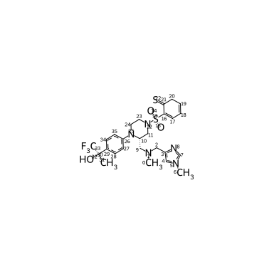 CN(Cc1cn(C)cn1)C[C@H]1CN(S(=O)(=O)C2=CC=CCC2=S)CCN1c1ccc([C@@](C)(O)C(F)(F)F)cc1